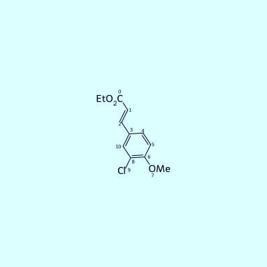 CCOC(=O)/C=C/c1ccc(OC)c(Cl)c1